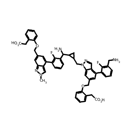 Cn1cc2c(-c3cccc(C(N)C4CC4Cn4ncc5c(-c6cccc(CN)c6F)cc(COc6ccccc6CC(=O)O)cc54)c3F)cc(COc3ccccc3CC(=O)O)cc2n1